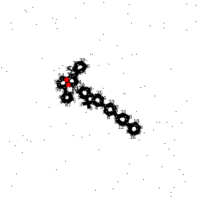 CC1(C)c2cc(-c3ccc(-c4ccc(-c5ccccc5)cc4)cc3)ccc2-c2ccc(N(c3ccc4sc5ccccc5c4c3)c3ccccc3-c3ccccc3)cc21